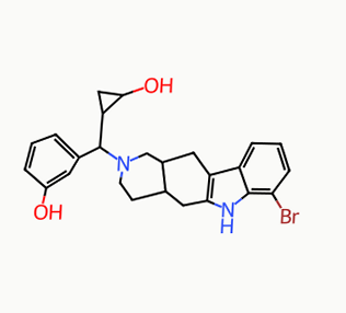 Oc1cccc(C(C2CC2O)N2CCC3Cc4[nH]c5c(Br)cccc5c4CC3C2)c1